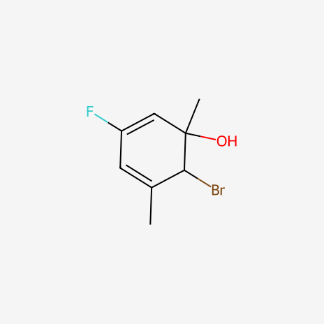 CC1=CC(F)=CC(C)(O)C1Br